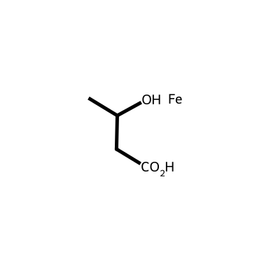 CC(O)CC(=O)O.[Fe]